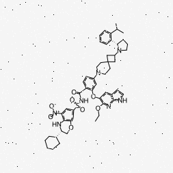 CCOc1nc2[nH]ccc2cc1Oc1cc(N2CCC3(CC2)CC(N2CCC[C@H]2c2ccccc2C(C)C)C3)ccc1C(=O)NS(=O)(=O)c1cc2c(c([N+](=O)[O-])c1)N[C@@H](C1CCCCC1)CO2